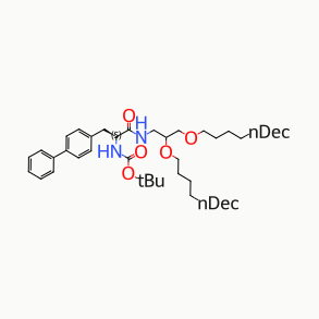 CCCCCCCCCCCCCCOCC(CNC(=O)[C@H](Cc1ccc(-c2ccccc2)cc1)NC(=O)OC(C)(C)C)OCCCCCCCCCCCCCC